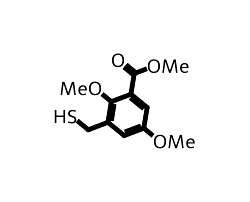 COC(=O)c1cc(OC)cc(CS)c1OC